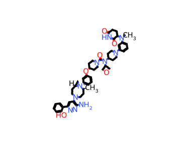 C[C@H]1CCN(c2cc(-c3ccccc3O)nnc2N)CC[C@H]2C[N+]21c1cccc(OC2CCN(C(=O)N(C3CCN(c4cccc(N(C)C5CCC(=O)NC5=O)c4)CC3)C3COC3)CC2)c1